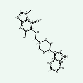 Cc1nc2scc(C)n2c(=O)c1CCN1CCC(c2c[nH]c3ccccc23)CC1